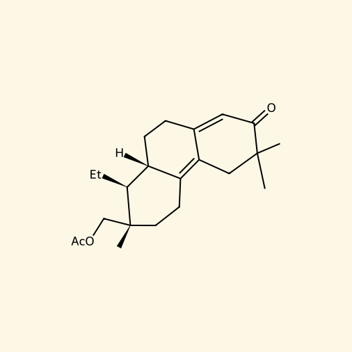 CC[C@H]1[C@@H]2CCC3=CC(=O)C(C)(C)CC3=C2CC[C@]1(C)COC(C)=O